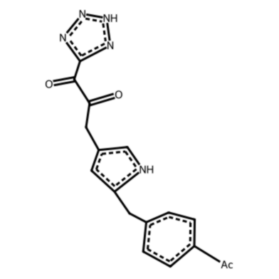 CC(=O)c1ccc(Cc2cc(CC(=O)C(=O)c3nn[nH]n3)c[nH]2)cc1